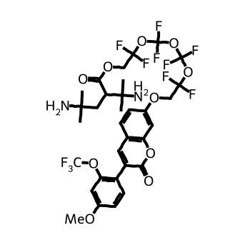 COc1ccc(-c2cc3ccc(OCC(F)(F)OC(F)(F)OC(F)(F)OC(F)(F)COC(=O)C(CC(C)(C)N)C(C)(C)N)cc3oc2=O)c(OC(F)(F)F)c1